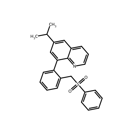 CC(C)c1cc(-c2ccccc2CS(=O)(=O)c2ccccc2)c2ncccc2c1